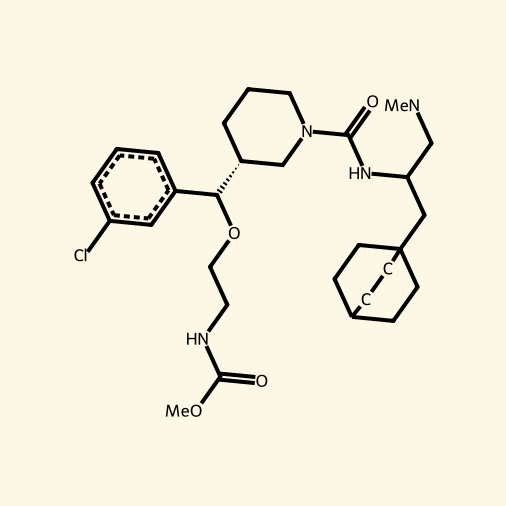 CNCC(CC12CCC(CC1)CC2)NC(=O)N1CCC[C@@H](C(OCCNC(=O)OC)c2cccc(Cl)c2)C1